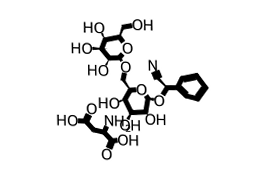 N#C[C@H](O[C@@H]1O[C@H](CO[C@@H]2O[C@H](CO)[C@@H](O)[C@H](O)[C@H]2O)[C@@H](O)[C@H](O)[C@H]1O)c1ccccc1.NC(CC(=O)O)C(=O)O